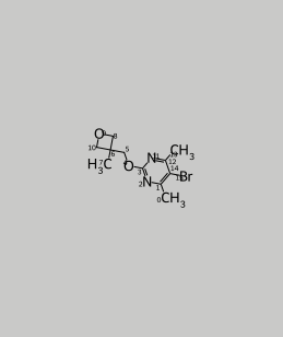 Cc1nc(OCC2(C)COC2)nc(C)c1Br